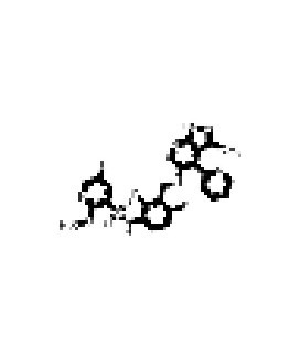 COc1ncc(F)cc1S(=O)(=O)Nc1ccc(F)c(COc2cnc3[nH]nc(C)c3c2-c2ccccn2)c1F